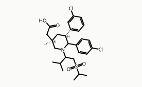 CC(C)C(CS(=O)(=O)C(C)C)N1C[C@@](C)(CC(=O)O)C[C@H](c2cccc(Cl)c2)C1c1ccc(Cl)cc1